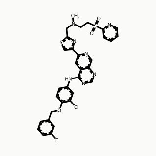 CN(CCS(=O)(=O)c1ccccn1)Cc1nc(-c2cc3c(Nc4ccc(OCc5cccc(F)c5)c(Cl)c4)ncnc3cn2)cs1